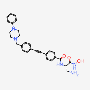 NC[C@H](NC(=O)c1ccc(C#Cc2ccc(CN3CCN(c4ccccc4)CC3)cc2)cc1)C(=O)NO